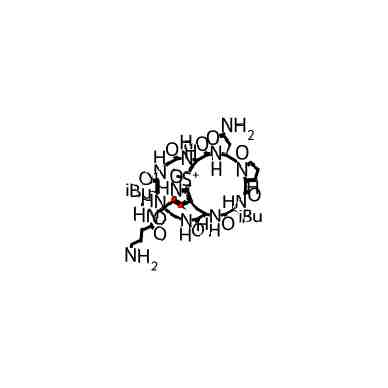 CC[C@H](C)C1NC(=O)CNC(=O)[C@@H]2Cc3c([nH]c4cc(NC(=O)CCCN)ccc34)[S+]([O-])C[C@H](NC(=O)CNC1=O)C(=O)N[C@@H](CC(N)=O)C(=O)N1CCC[C@H]1C(=O)N[C@@H]([C@@H](C)CC)C(=O)N2